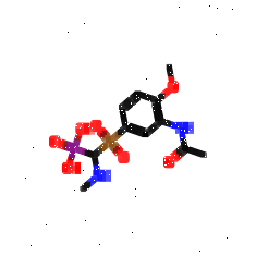 CNC(P(=O)(O)O)S(=O)(=O)c1ccc(OC)c(NC(C)=O)c1